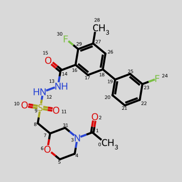 CC(=O)N1CCOC(CS(=O)(=O)NNC(=O)c2cc(-c3cccc(F)c3)cc(C)c2F)C1